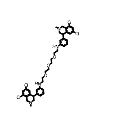 CN1Cc2c(Cl)cc(Cl)cc2C(c2cccc(NCCOCCOCCOCCNc3cccc(C4CN(C)Cc5c(Cl)cc(Cl)cc54)c3)c2)C1